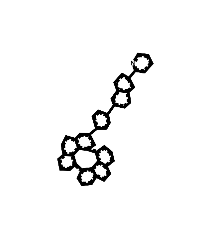 c1ccc(-c2ccc3cc(-c4ccc(-c5cc6ccc7cccc8c9cccc%10ccc%11cccc(c(c5)c6c78)c%11c%109)cc4)ccc3c2)nc1